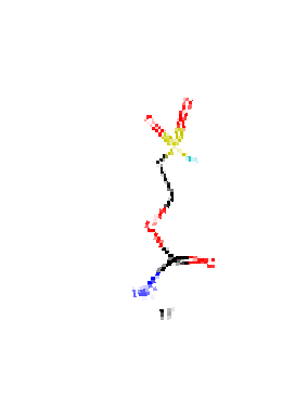 [Li+].[NH-]C(=O)OCCS(=O)(=O)F